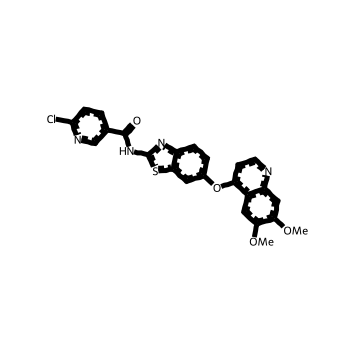 COc1cc2nccc(Oc3ccc4nc(NC(=O)c5ccc(Cl)nc5)sc4c3)c2cc1OC